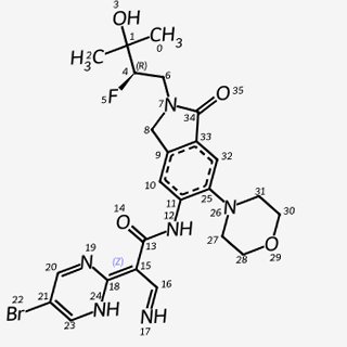 CC(C)(O)[C@H](F)CN1Cc2cc(NC(=O)/C(C=N)=C3\N=CC(Br)=CN3)c(N3CCOCC3)cc2C1=O